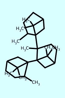 CC1CCC2CC1(C1(C)CCC3CC1(C14CC(CCC1C)C4(C)C)C3(C)C)C2(C)C